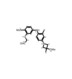 CNc1ccc(Nc2ccc(N3CC(C)(OC)C3)cc2C)cc1OCC=O